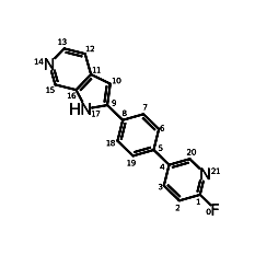 Fc1ccc(-c2ccc(-c3cc4ccncc4[nH]3)cc2)cn1